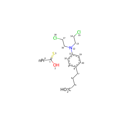 CCCC(O)=S.O=C(O)CCCc1ccc(N(CCCl)CCCl)cc1